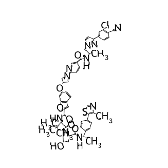 Cc1ncsc1-c1ccc([C@H](C)NC(=O)C2C[C@@H](O)CN2C(=O)[C@@H](NC(=O)c2cc3ccc(OC4CN(c5ccc(C(=O)N[C@@H](C)Cn6ccc(-c7ccc(C#N)c(Cl)c7)n6)cn5)C4)cc3o2)C(C)(C)C)cc1